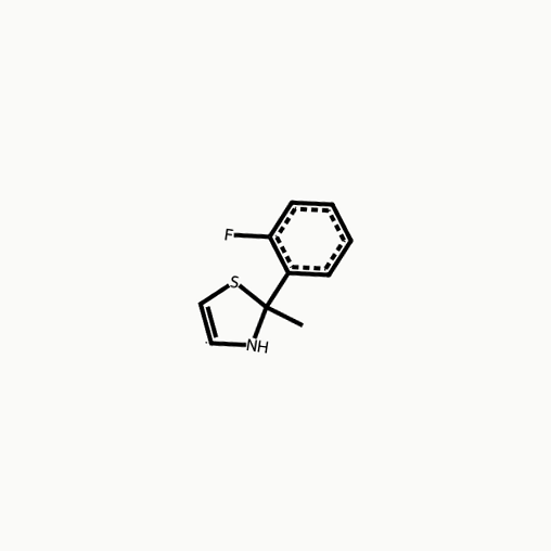 CC1(c2ccccc2F)N[C]=CS1